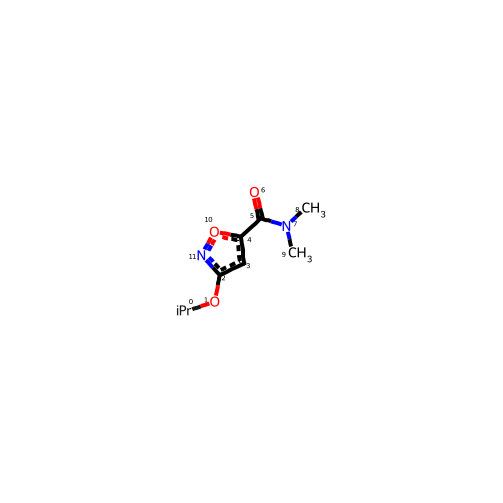 CC(C)Oc1cc(C(=O)N(C)C)on1